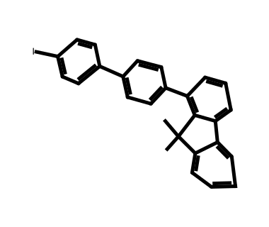 CC1(C)c2ccccc2-c2cccc(-c3ccc(-c4ccc(I)cc4)cc3)c21